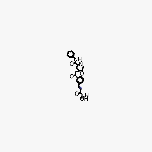 CN1CCC2(CC(=O)c3cc(/C=C/C(=O)NO)ccc3O2)CC1C(=O)Nc1ccccc1